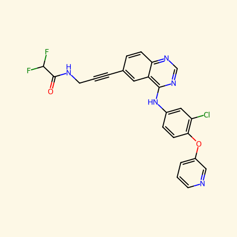 O=C(NCC#Cc1ccc2ncnc(Nc3ccc(Oc4cccnc4)c(Cl)c3)c2c1)C(F)F